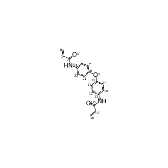 C=CC(=O)Nc1ccc(Oc2ccc(NC(=O)C=C)cc2)cc1